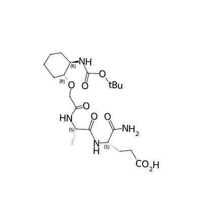 C[C@H](NC(=O)CO[C@@H]1CCCC[C@H]1NC(=O)OC(C)(C)C)C(=O)N[C@@H](CCC(=O)O)C(N)=O